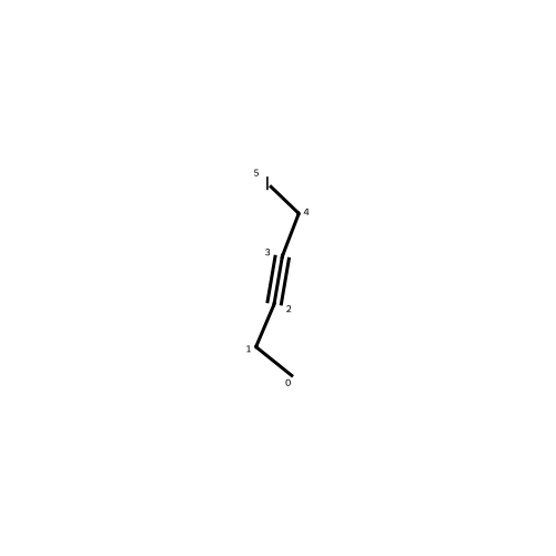 CCC#CCI